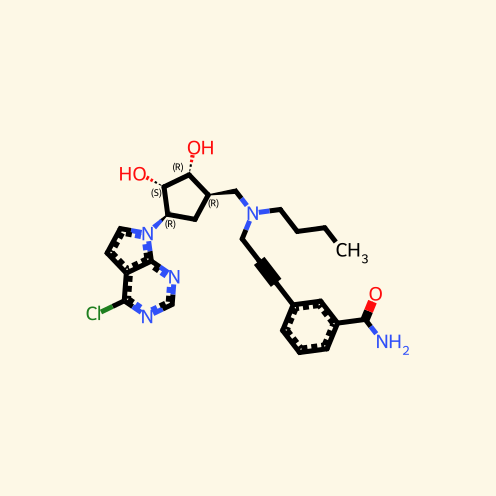 CCCCN(CC#Cc1cccc(C(N)=O)c1)C[C@H]1C[C@@H](n2ccc3c(Cl)ncnc32)[C@H](O)[C@@H]1O